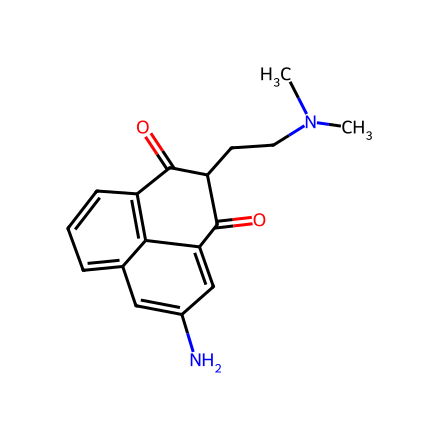 CN(C)CCC1C(=O)c2cccc3cc(N)cc(c23)C1=O